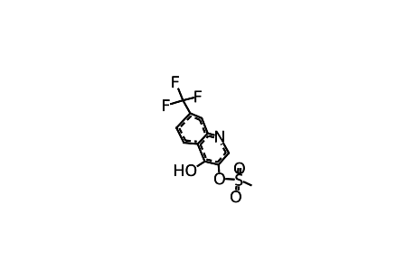 CS(=O)(=O)Oc1cnc2cc(C(F)(F)F)ccc2c1O